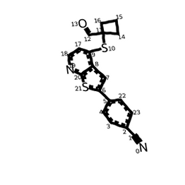 N#Cc1ccc(-c2cc3c(SC4(C=O)CCC4)ccnc3s2)cc1